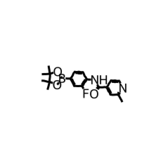 Cc1cc(C(=O)Nc2ccc(B3OC(C)(C)C(C)(C)O3)cc2F)ccn1